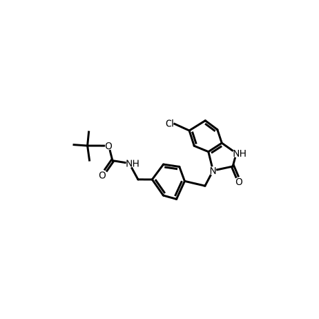 CC(C)(C)OC(=O)NCc1ccc(Cn2c(=O)[nH]c3ccc(Cl)cc32)cc1